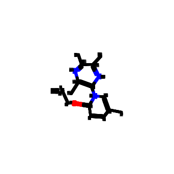 CS(=O)(=O)O.Cc1ccc(=O)n(-c2nc(C)c(C)nc2C)c1